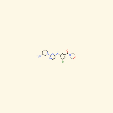 N[C@H]1CCCN(c2nccc(Nc3cc(Cl)cc(C(=O)N4CCOCC4)c3)n2)C1